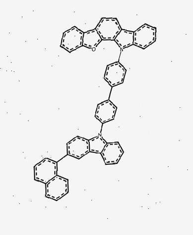 c1ccc2c(-c3ccc4c(c3)c3ccccc3n4-c3ccc(-c4ccc(-n5c6ccccc6c6ccc7c8ccccc8oc7c65)cc4)cc3)cccc2c1